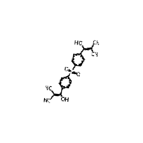 N#CC(C#N)=C(O)c1ccc(S(=O)(=O)c2ccc(C(O)=C(C#N)C#N)cc2)cc1